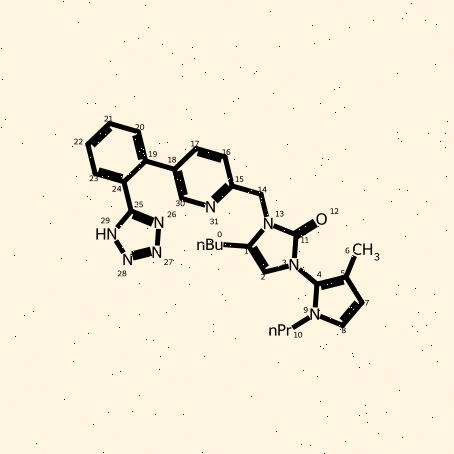 CCCCc1cn(-c2c(C)ccn2CCC)c(=O)n1Cc1ccc(-c2ccccc2-c2nnn[nH]2)cn1